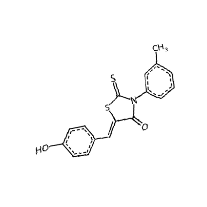 Cc1cccc(N2C(=O)/C(=C/c3ccc(O)cc3)SC2=S)c1